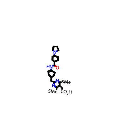 CSc1nc(Cc2ccc(NC(=O)c3ccc(N4C=CCC4)cc3)cc2)nc(SC)c1CC(=O)O